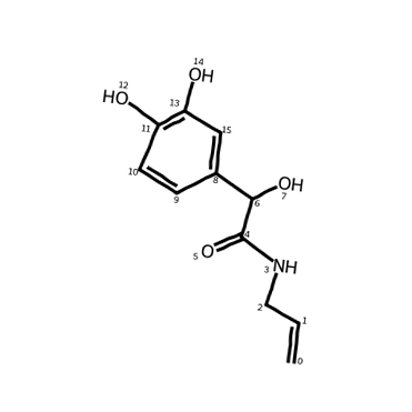 C=CCNC(=O)C(O)c1ccc(O)c(O)c1